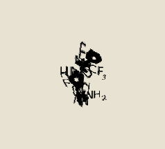 Nc1ncnc(Oc2ccc(NC(=O)c3cnn(-c4ccccc4F)c3C(F)(F)F)cc2F)c1Cl